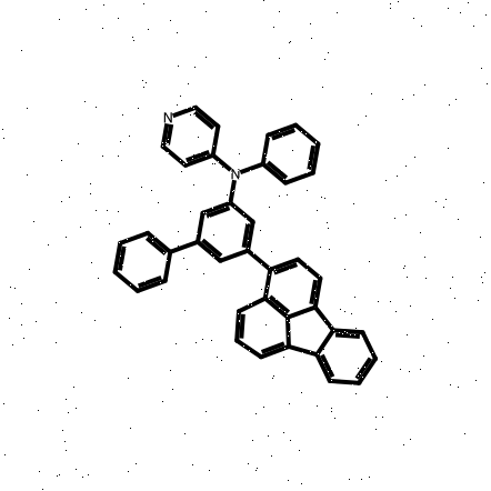 c1ccc(-c2cc(-c3ccc4c5c(cccc35)-c3ccccc3-4)cc(N(c3ccccc3)c3ccncc3)c2)cc1